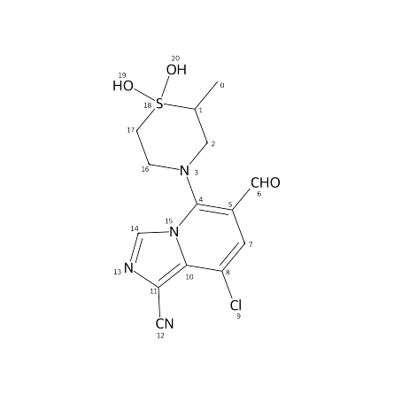 CC1CN(c2c(C=O)cc(Cl)c3c(C#N)ncn23)CCS1(O)O